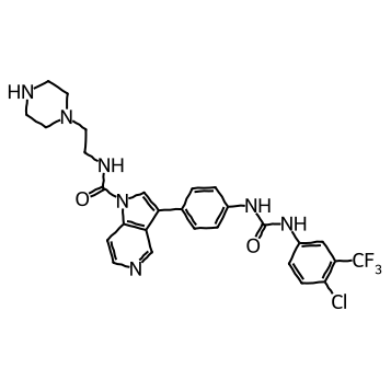 O=C(Nc1ccc(-c2cn(C(=O)NCCN3CCNCC3)c3ccncc23)cc1)Nc1ccc(Cl)c(C(F)(F)F)c1